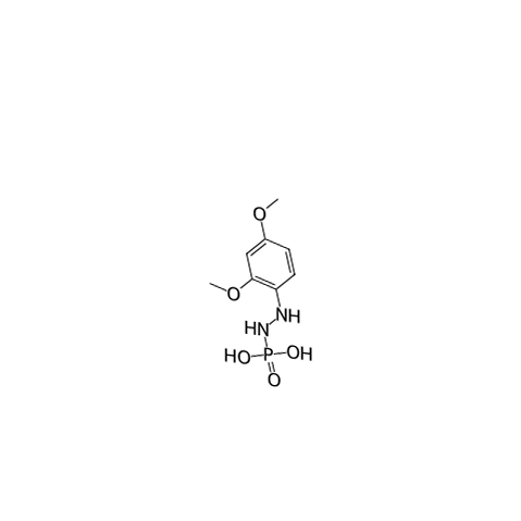 COc1ccc(NNP(=O)(O)O)c(OC)c1